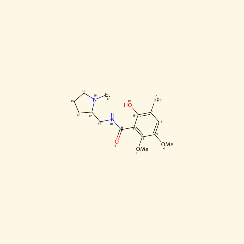 CCCc1cc(OC)c(OC)c(C(=O)NCC2CCCN2CC)c1O